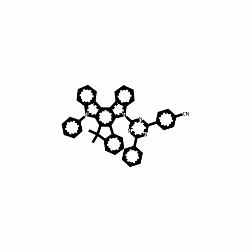 CC1(C)c2ccccc2-c2c1c1c(c3ccccc3n1-c1ccccc1)c1c3ccccc3n(-c3nc(-c4ccccc4)nc(-c4ccc(C#N)cc4)n3)c21